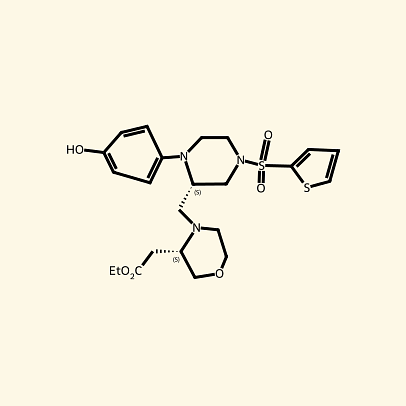 CCOC(=O)C[C@H]1COCCN1C[C@H]1CN(S(=O)(=O)c2cccs2)CCN1c1ccc(O)cc1